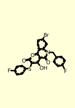 O=c1oc2c(c(O)c1Sc1ccc(F)cc1)c(=O)n(Cc1ccc(F)cc1)c1cc(Br)ccc21